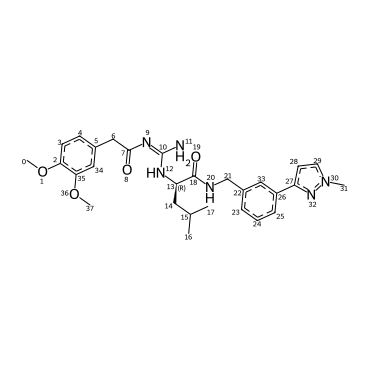 COc1ccc(CC(=O)N=C(N)N[C@H](CC(C)C)C(=O)NCc2cccc(-c3ccn(C)n3)c2)cc1OC